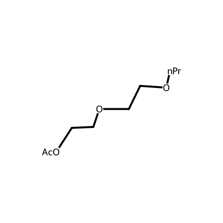 CCCOCCOCCOC(C)=O